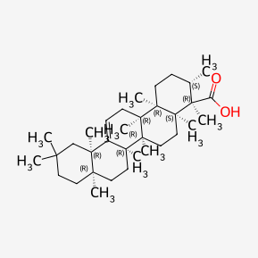 C[C@H]1CC[C@]2(C)[C@]3(C)CC=C4[C@]5(C)CC(C)(C)CC[C@]5(C)CC[C@]4(C)[C@]3(C)CC[C@]2(C)[C@]1(C)C(=O)O